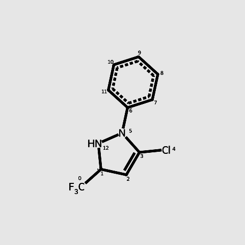 FC(F)(F)[C]1C=C(Cl)N(c2ccccc2)N1